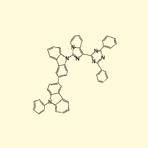 c1ccc(-c2nc(-c3ccccc3)nc(-c3nc(-n4c5ccccc5c5cc(-c6ccc7c(c6)c6ccccc6n7-c6ccccc6)ccc54)n4ccccc34)n2)cc1